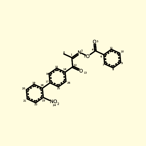 C/C(=N/OC(=O)c1ccccc1)C(=O)c1ccc(-c2ccccc2[N+](=O)[O-])cc1